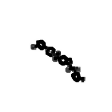 O=C(Nc1cccc(F)c1)N1CCc2cc(S(=O)(=O)N3CCN(c4cccc(Cl)c4)CC3)ccc21